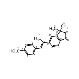 CC(=Cc1ccc(C(=O)O)cc1)c1ccc2c(c1)C(C)(C)CS2